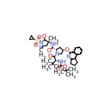 C=CC[C@](C)(NC(=O)[C@@H]1C[C@@H](Oc2nc3c(c4ccccc24)CCC3)CN1C(=O)[C@@H](NC(=O)OC(C)(C)C)C(C)(C)C)C(=O)NS(=O)(=O)C1CC1